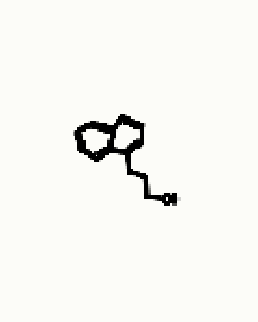 OCCCc1cccc2ccccc12